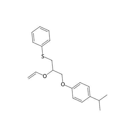 C=COC(COc1ccc(C(C)C)cc1)CSc1ccccc1